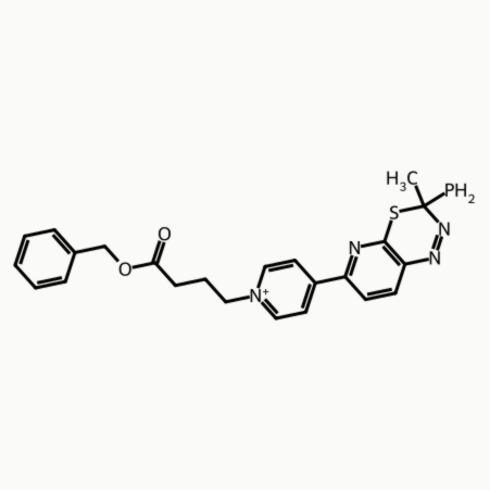 CC1(P)N=Nc2ccc(-c3cc[n+](CCCC(=O)OCc4ccccc4)cc3)nc2S1